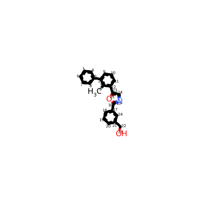 Cc1c(-c2ccccc2)cccc1-c1cnc(-c2cccc(CO)c2)o1